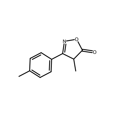 Cc1ccc(C2=NOC(=O)C2C)cc1